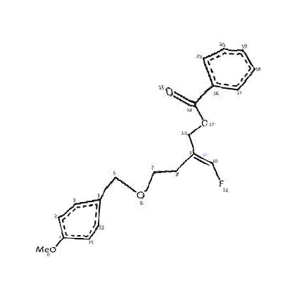 COc1ccc(COCC/C(=C\F)COC(=O)c2ccccc2)cc1